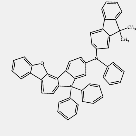 CC1(C)c2ccccc2-c2ccc(N(c3ccccc3)c3ccc4c(c3)[Si](c3ccccc3)(c3ccccc3)c3ccc5c(oc6ccccc65)c3-4)cc21